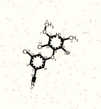 COc1nc(C)c(Br)c(Oc2cc(Cl)cc(C#N)c2)c1Cl